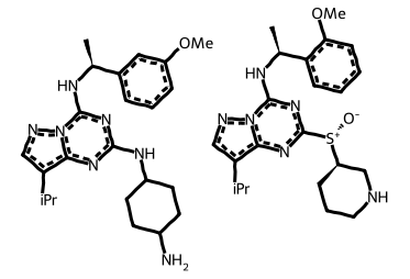 COc1cccc([C@H](C)Nc2nc(NC3CCC(N)CC3)nc3c(C(C)C)cnn23)c1.COc1ccccc1[C@H](C)Nc1nc([S@+]([O-])[C@@H]2CCCNC2)nc2c(C(C)C)cnn12